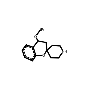 CC(C)OC1CC2(CCNCC2)Oc2ccccc21